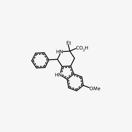 CCC1(C(=O)O)Cc2c([nH]c3ccc(OC)cc23)C(c2ccccc2)N1